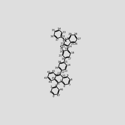 c1ccc(-c2c3ccccc3c(-c3ccc(-c4ccc5c(c4)sc4c5c5ccccc5n4-c4ccccc4)cc3)c3ccccc23)cc1